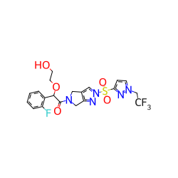 O=C(C(OCCO)c1ccccc1F)N1Cc2cn(S(=O)(=O)c3ccn(CC(F)(F)F)n3)nc2C1